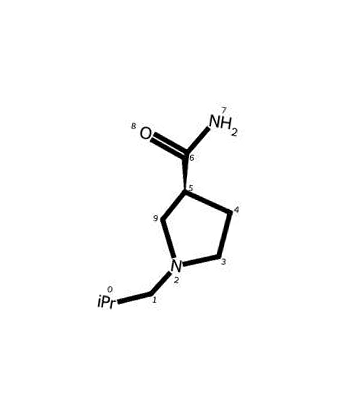 CC(C)CN1CC[C@H](C(N)=O)C1